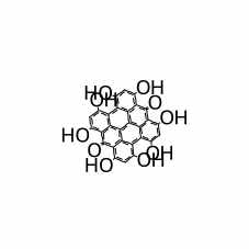 O=c1c2c(O)cc(O)c3c4c(O)cc(O)c5c(=O)c6c(O)cc(O)c7c8c(O)cc(O)c1c8c(c23)c(c54)c67